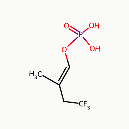 CC(=COP(=O)(O)O)CC(F)(F)F